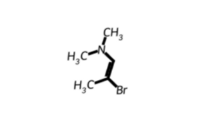 C/C(Br)=C\N(C)C